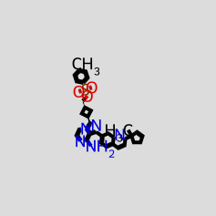 Cc1ccc(S(=O)(=O)OC[C@H]2C[C@H](c3nc(C4=CC=C5C=CC(C6(C)C=CCC6)=NC5C4)c4c(N)nccn43)C2)cc1